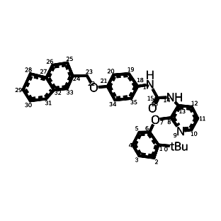 CC(C)(C)c1ccccc1Oc1ncccc1NC(=O)Nc1ccc(OCc2ccc3ccccc3c2)cc1